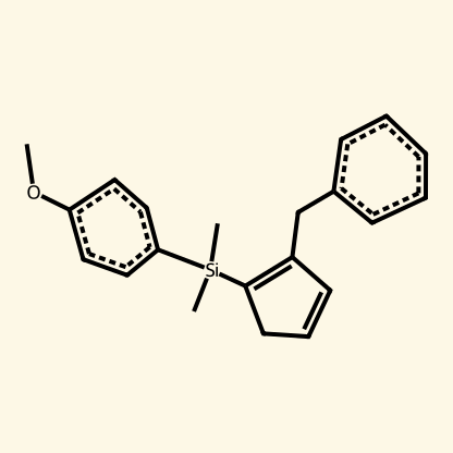 COc1ccc([Si](C)(C)C2=C(Cc3ccccc3)C=CC2)cc1